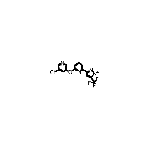 Cn1nc(-c2cccc(Oc3cncc(Cl)c3)n2)cc1C(F)(F)F